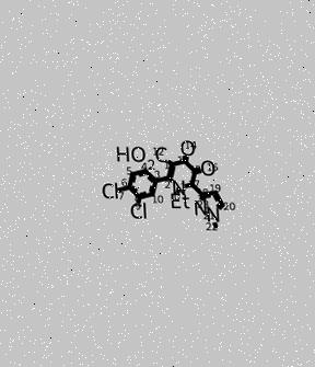 CCN1C(c2ccc(Cl)c(Cl)c2)=C(C(=O)O)C(=O)C(=O)C1c1ccn(C)n1